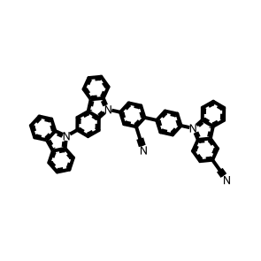 N#Cc1ccc2c(c1)c1ccccc1n2-c1ccc(-c2ccc(-n3c4ccccc4c4cc(-n5c6ccccc6c6ccccc65)ccc43)cc2C#N)cc1